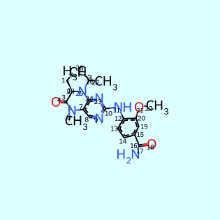 CC[C@@H]1C(=O)N(C)c2cnc(Nc3ccc(C(N)=O)cc3OC)nc2N1C(C)C